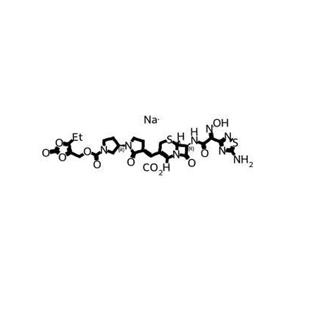 CCc1oc(=O)oc1COC(=O)N1CC[C@@H](N2CCC(=CC3=C(C(=O)O)N4C(=O)[C@@H](NC(=O)C(=NO)c5nsc(N)n5)[C@H]4SC3)C2=O)C1.[Na]